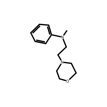 CN(CCN1CCOCC1)c1ccccc1